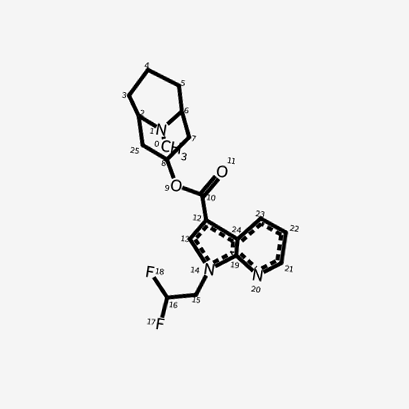 CN1C2CCCC1CC(OC(=O)c1cn(CC(F)F)c3ncccc13)C2